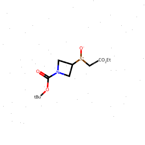 CCOC(=O)C[S+]([O-])C1CN(C(=O)OC(C)(C)C)C1